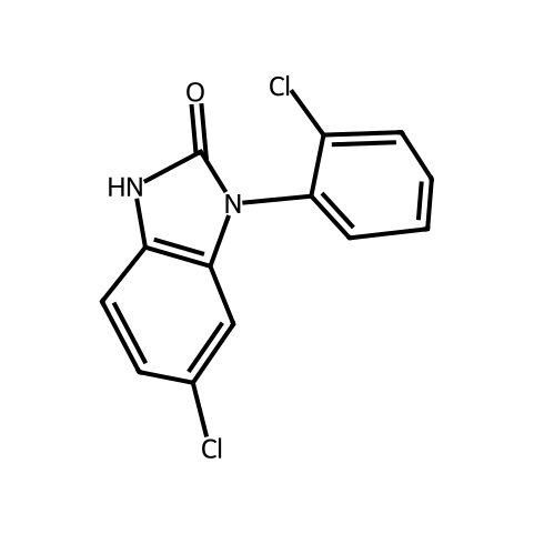 O=c1[nH]c2ccc(Cl)cc2n1-c1ccccc1Cl